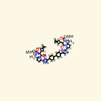 COC(=O)NC(C(=O)N1[C@@H](C)CC[C@H]1c1ncc(-c2ccc(-c3ccc(-c4cnc([C@@H]5CC[C@H](C)N5C(=O)C(NC(=O)OC)C5CC6(CC6)C5)[nH]4)cc3)cc2)[nH]1)C1CC2(CC2)C1